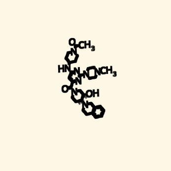 CC(=O)N1CCC(Nc2cc(C(=O)N3CC[C@@H](N4CCc5ccccc5C4)[C@H](O)C3)nc(N3CCN(C)CC3)n2)CC1